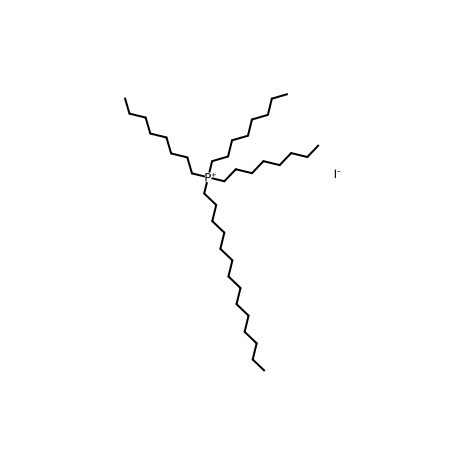 CCCCCCCCCCCCCC[P+](CCCCCCCC)(CCCCCCCC)CCCCCCCC.[I-]